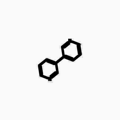 [c]1ccc(-c2cccnc2)cn1